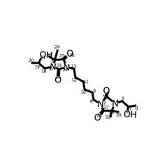 CC(O)CN1C(=O)N(CCCCCCN2C(=O)N(CC(C)O)C(C)(C)C2=O)C(=O)C1(C)C